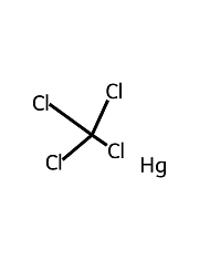 ClC(Cl)(Cl)Cl.[Hg]